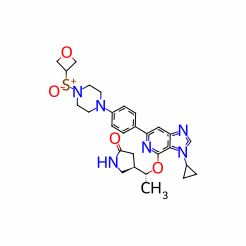 C[C@@H](Oc1nc(-c2ccc(N3CCN([S+]([O-])C4COC4)CC3)cc2)cc2ncn(C3CC3)c12)[C@H]1CNC(=O)C1